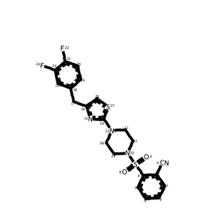 N#Cc1ccccc1S(=O)(=O)N1CCN(c2nc(Cc3ccc(F)c(F)c3)cs2)CC1